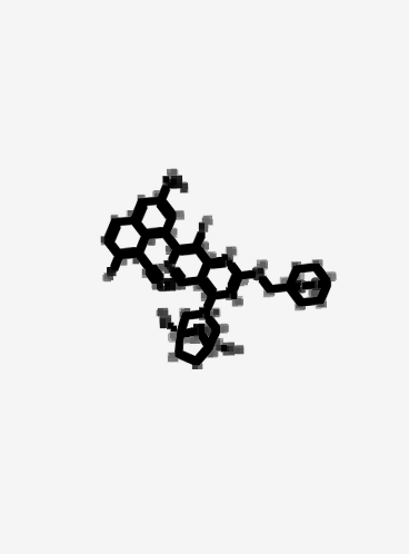 C#Cc1c(F)ccc2cc(N)cc(-c3ncc4c(N5C[C@H]6CC[C@@H](C5)N6)nc(OCC56CCC(CC5)OC6)nc4c3F)c12